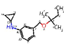 CCC(C)(C)OCc1cccc(NC2CC2)c1